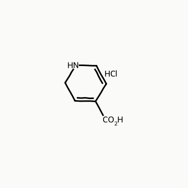 Cl.O=C(O)C1=CCNC=C1